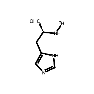 [2H]N[C@H](C=O)Cc1cnc[nH]1